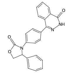 O=C1OCC(c2ccccc2)N1c1ccc(-c2n[nH]c(=O)c3ccccc23)cc1